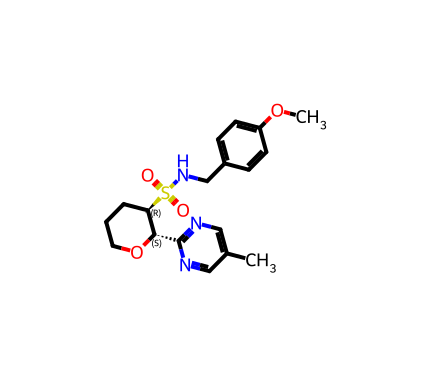 COc1ccc(CNS(=O)(=O)[C@@H]2CCCO[C@H]2c2ncc(C)cn2)cc1